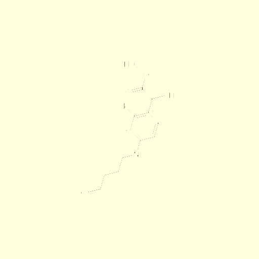 COC(=O)C(C)c1ccc(NCCCCCl)cc1Cl